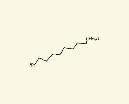 CCCCCCCCC[CH]CCCCCC(C)C